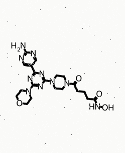 Nc1ncc(-c2nc(N3CCOCC3)nc(N3CCN(C(=O)CCCC(=O)NO)CC3)n2)cn1